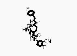 C[C@@H](CCc1ccc(F)cc1)C1CCc2c(cn(C)c2C(=O)Nc2ccc(F)c(C#N)c2)S(=N)(=O)N1